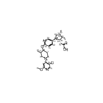 COc1cc(N2CCC(Oc3ccc(N4C[C@H](F)[C@@H](C)[C@@H]4CC(=O)O)cn3)C(C)C2)c(Cl)cn1